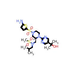 CC(C)CN(C[C@H]1CN(S(=O)(=O)c2ccc(N)s2)CCN1c1ncc(C(C)(C)O)cn1)S(C)(=O)=O